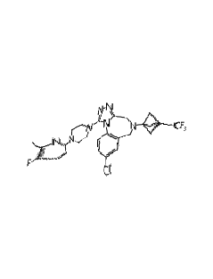 Cc1nc(N2CCN(c3nnc4n3-c3ccc(Cl)cc3CN(C35CC(C(F)(F)F)(C3)C5)C4)CC2)ccc1F